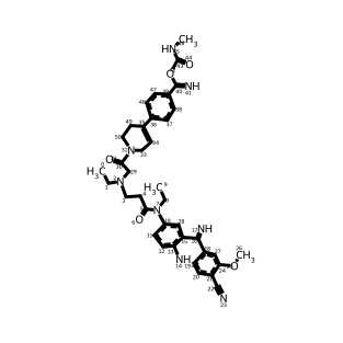 CCN(CCC(=O)N(CC)c1ccc(N)c(C(=N)c2ccc(C#N)c(OC)c2)c1)CC(=O)N1CC=C(c2ccc(C(=N)OC(=O)NC)cc2)CC1